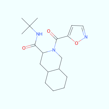 CC(C)(C)NC(=O)C1CC2CCCCC2CN1C(=O)c1ccno1